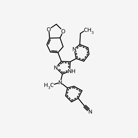 CCc1cccc(-c2[nH]c(N(C)c3ccc(C#N)cc3)nc2C2=CC=C3OCOC3C2)n1